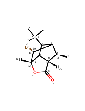 C[C@@H]1C2C([Si](C)(C)C)C3[C@H]1C(=O)O[C@@H]3[C@H]2Br